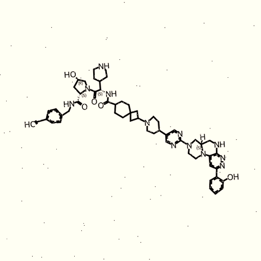 C#Cc1ccc(CNC(=O)[C@@H]2C[C@@H](O)CN2C(=O)[C@@H](NC(=O)C2CCC3(CC2)CC(N2CCC(c4cnc(N5CCN6c7cc(-c8ccccc8O)nnc7NC[C@H]6C5)nc4)CC2)C3)C2CCNCC2)cc1